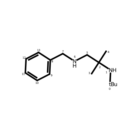 CC(C)(C)NC(C)(C)CNCc1ccccc1